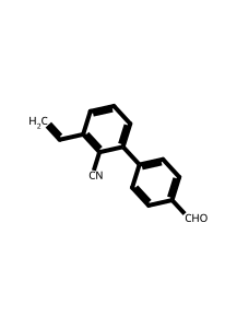 C=Cc1cccc(-c2ccc(C=O)cc2)c1C#N